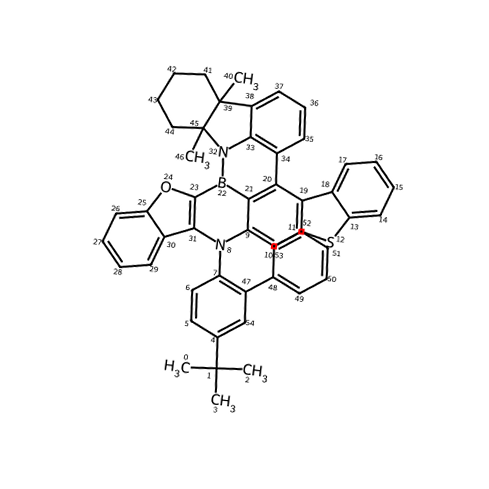 CC(C)(C)c1ccc(N2c3cc4sc5ccccc5c4c4c3B(c3oc5ccccc5c32)N2c3c-4cccc3C3(C)CCCCC23C)c(-c2ccccc2)c1